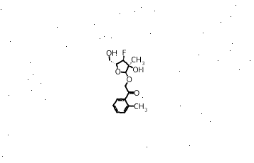 Cc1ccccc1C(=O)CO[C@H]1O[C@H](CO)[C@@H](F)[C@@]1(C)O